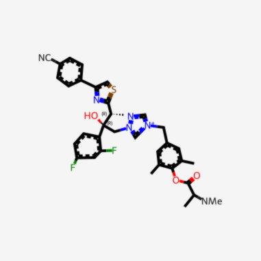 CNC(C)C(=O)Oc1c(C)cc(C[n+]2cnn(C[C@](O)(c3ccc(F)cc3F)[C@@H](C)c3nc(-c4ccc(C#N)cc4)cs3)c2)cc1C